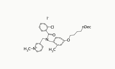 CCCCCCCCCCCCCCOc1ccc(CN(Cc2ccc[n+](C)c2)C(=O)c2ccccc2Cl)c(C)c1.[I-]